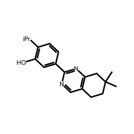 CC(C)c1ccc(-c2ncc3c(n2)CC(C)(C)CC3)cc1O